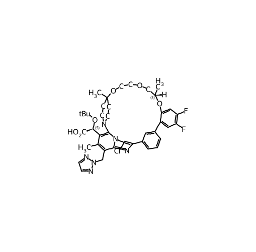 Cc1c([C@H](OC(C)(C)C)C(=O)O)c2n3c(Cl)c(nc3c1Cn1nccn1)-c1cccc(c1)-c1cc(F)c(F)cc1O[C@@H](C)COCCOC1(C)CCN2CC1